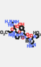 CC[C@H](C)[C@H](NC(=O)[C@H](CC1=CCC(O)(O)C=C1)NC(=O)[C@@H]1CCCN1C(=O)[C@H](CCCNC(=N)N)NC(=O)[C@@H](N)CC(=O)O)C(=O)N[C@@H](Cc1c[nH]cn1)C(=O)N1CCC[C@H]1C(=O)O